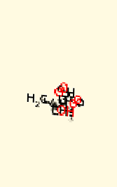 C=CCCC(C)(C)C(O)C=C[C@@H]1[C@@H]2CC3(C[C@@H]2C[C@H]1OC1CCCCO1)OCCO3